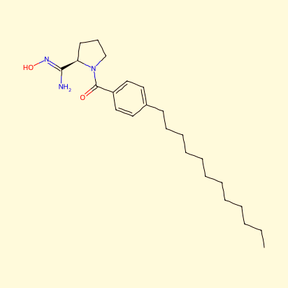 CCCCCCCCCCCCc1ccc(C(=O)N2CCC[C@@H]2/C(N)=N/O)cc1